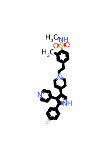 CNS(=O)(=O)c1ccc(CCN2CC=C(c3c[nH]c(-c4ccc(F)cc4)c3-c3ccncc3)CC2)cc1C